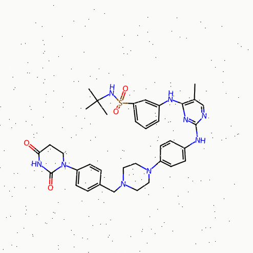 Cc1cnc(Nc2ccc(N3CCN(Cc4ccc(N5CCC(=O)NC5=O)cc4)CC3)cc2)nc1Nc1cccc(S(=O)(=O)NC(C)(C)C)c1